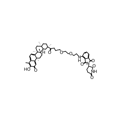 CC1=C(O)C(=O)C=C2C1=CC=C1[C@@]2(C)CC[C@@]2(C)[C@@H]3C[C@](C)(C(=O)CCCOCCOCCNc4cccc5c4C(=O)N(C4CCC(=O)NC4=O)C5=O)CC[C@]3(C)CC[C@]12C